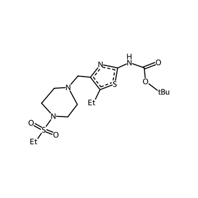 CCc1sc(NC(=O)OC(C)(C)C)nc1CN1CCN(S(=O)(=O)CC)CC1